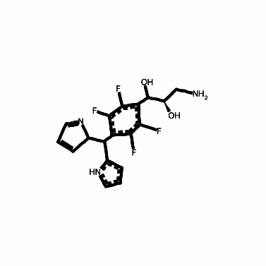 NC[C@@H](O)C(O)c1c(F)c(F)c(C(c2ccc[nH]2)C2C=CC=N2)c(F)c1F